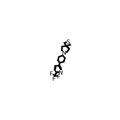 FC(F)(F)c1ccc(C2CCC(N3CCC4(CC3)CSC4)CC2)cn1